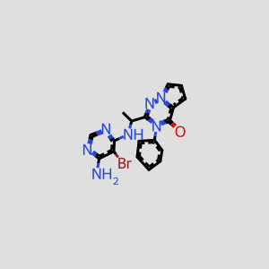 CC(Nc1ncnc(N)c1Br)c1nn2cccc2c(=O)n1-c1ccccc1